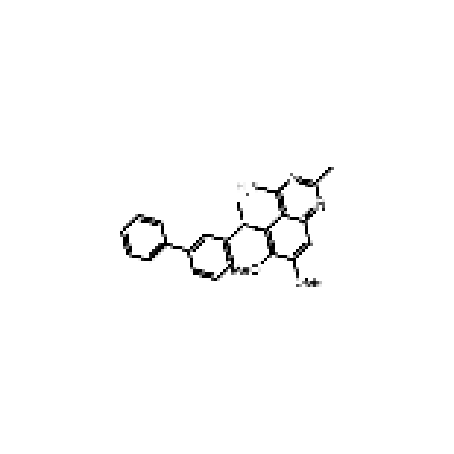 COc1cc2nc(C)nc(N)c2c([C@H](C)c2cccc(-c3ccccc3)c2)c1OC